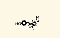 CNc1nc([C@@H](N)Cc2ccc(O)cc2)cs1